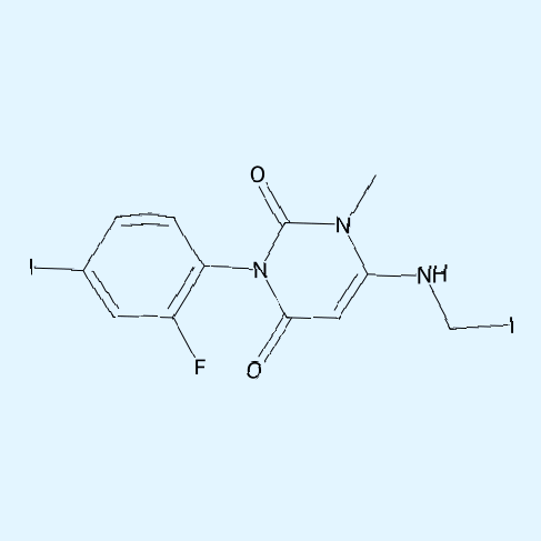 Cn1c(NCI)cc(=O)n(-c2ccc(I)cc2F)c1=O